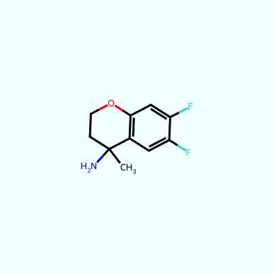 CC1(N)CCOc2cc(F)c(F)cc21